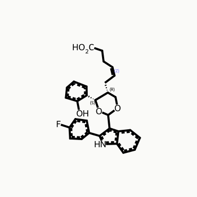 O=C(O)CC/C=C\C[C@@H]1COC(c2c(-c3ccc(F)cc3)[nH]c3ccccc23)O[C@@H]1c1ccccc1O